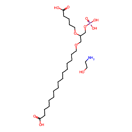 NCCO.O=C(O)CCCCCCCCCCCCCCCOCC(COP(=O)(O)O)OCCCCC(=O)O